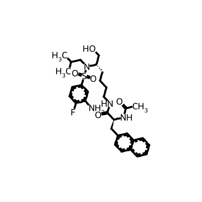 CC(=O)N[C@@H](Cc1ccc2ccccc2c1)C(=O)NCCCC[C@@H](CO)N(CC(C)C)S(=O)(=O)c1ccc(F)c(N)c1